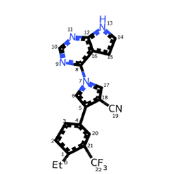 CCc1ccc(-c2cn(-c3ncnc4[nH]ccc34)cc2C#N)cc1C(F)(F)F